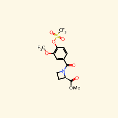 COC(=O)[C@H]1CCN1C(=O)c1ccc(OS(=O)(=O)C(F)(F)F)c(OC(F)(F)F)c1